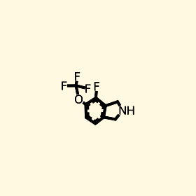 Fc1c(OC(F)(F)F)ccc2c1CNC2